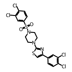 O=S(=O)(c1ccc(Cl)c(Cl)c1)N1CCN(c2nc(-c3ccc(Cl)c(Cl)c3)cs2)CC1